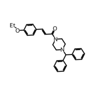 CCOc1ccc(C=CC(=O)N2CCN(C(c3ccccc3)c3ccccc3)CC2)cc1